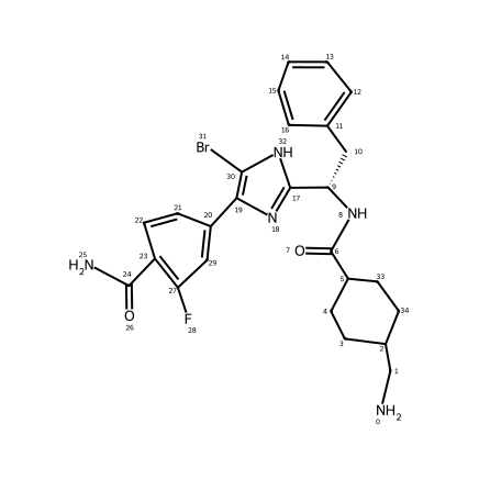 NCC1CCC(C(=O)N[C@@H](Cc2ccccc2)c2nc(-c3ccc(C(N)=O)c(F)c3)c(Br)[nH]2)CC1